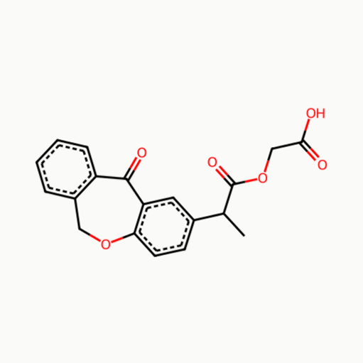 CC(C(=O)OCC(=O)O)c1ccc2c(c1)C(=O)c1ccccc1CO2